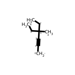 [CH2]C#CC(C)(CC)CC